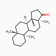 C[C@]12CCCC[C@]1(C)C1CC[C@]3(C)C(=O)CC[C@H]3[C@@H]1CC2